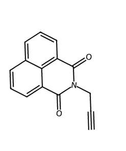 C#CCN1C(=O)c2cccc3cccc(c23)C1=O